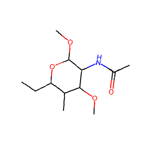 CCC1OC(OC)C(NC(C)=O)C(OC)C1C